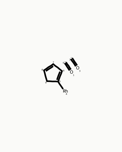 [C]=O.[C]=O.[Rh][C]1=CC=CC1